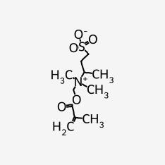 C=C(C)C(=O)OC[N+](C)(C)C(C)CCS(=O)(=O)[O-]